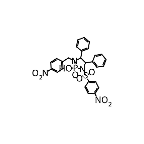 O=[N+]([O-])c1ccc(CN2C(c3ccccc3)C(c3ccccc3)N(S(=O)(=O)c3ccc([N+](=O)[O-])cc3)P2(=O)O)cc1